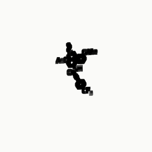 C=CCN1CC[C@@]2(c3cccc(OC)c3)C[C@H](NC(=O)C#Cc3ccc(C(F)(F)F)cc3)CC[C@]2(OC(C)=O)C1